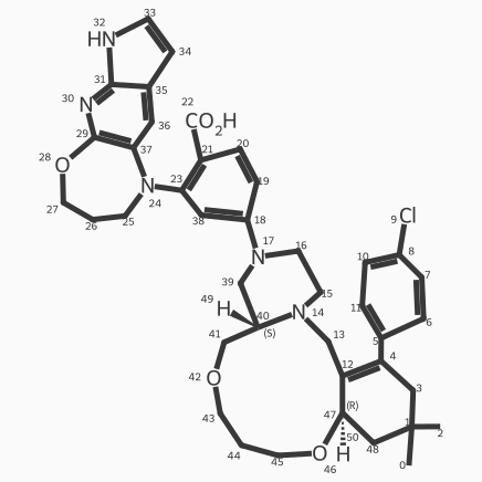 CC1(C)CC(c2ccc(Cl)cc2)=C2CN3CCN(c4ccc(C(=O)O)c(N5CCCOc6nc7[nH]ccc7cc65)c4)C[C@H]3COCCCO[C@@H]2C1